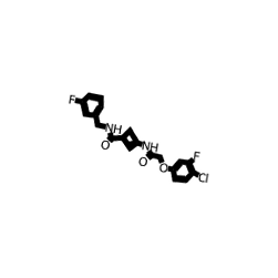 O=C(COc1ccc(Cl)c(F)c1)NC12CC(C(=O)NCc3cccc(F)c3)(C1)C2